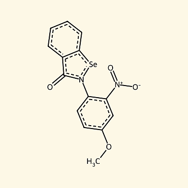 COc1ccc(-n2[se]c3ccccc3c2=O)c([N+](=O)[O-])c1